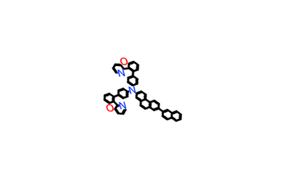 c1ccc2cc(-c3ccc4c(ccc5cc(N(c6ccc(-c7cccc8oc9cccnc9c78)cc6)c6ccc(-c7cccc8oc9cccnc9c78)cc6)ccc54)c3)ccc2c1